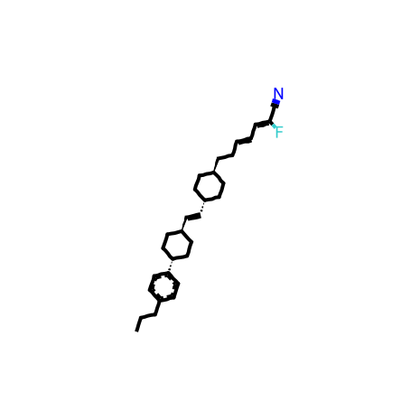 CCCc1ccc([C@H]2CC[C@H](C=C[C@H]3CC[C@H](CCC=CC=C(F)C#N)CC3)CC2)cc1